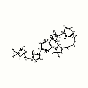 CC1(C)CC2CCCOc3ccc(cc3)S(=O)(=O)N3C(=O)c4ccc(-n5ccc(OCCC6(C(F)(F)F)CC6)n5)nc4N1C23